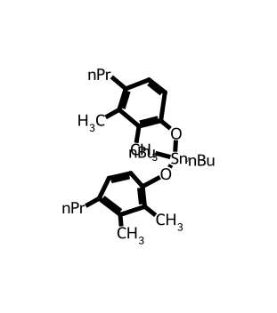 CCC[CH2][Sn]([CH2]CCC)([O]c1ccc(CCC)c(C)c1C)[O]c1ccc(CCC)c(C)c1C